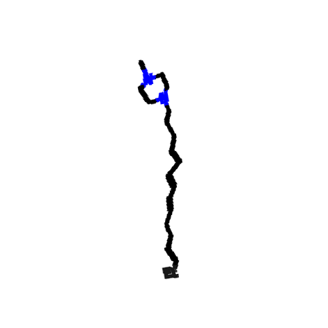 CCC=CCCC=CC=CC=CCCCN1CCN(C)CC1